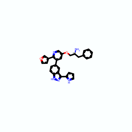 N[C@H](COc1cnc(-c2ccoc2)c(-c2ccc3[nH]nc(-c4ccc[nH]4)c3c2)c1)Cc1ccccc1